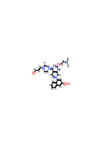 C[C@@H]1CN(c2nc(OCCN(C)C)nc3c2CCN(c2cc(O)cc4ccccc24)C3)CCN1C=CC=O